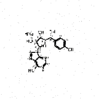 Oc1ccc([C@@H](O)[C@H]2O[C@@H](n3cnc4c(O)ncnc43)[C@H](O)[C@@H]2O)cc1.[NaH]